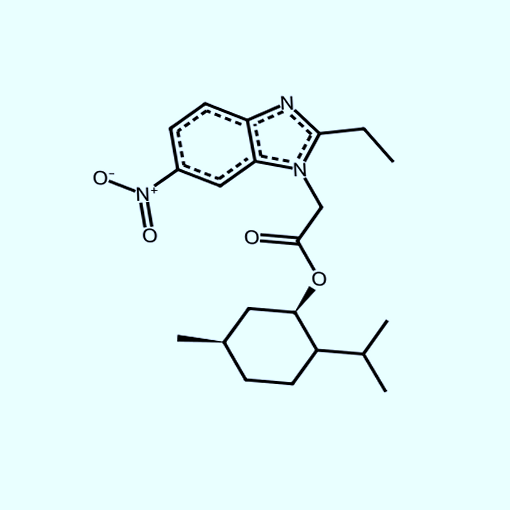 CCc1nc2ccc([N+](=O)[O-])cc2n1CC(=O)O[C@@H]1C[C@H](C)CCC1C(C)C